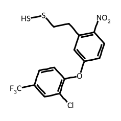 O=[N+]([O-])c1ccc(Oc2ccc(C(F)(F)F)cc2Cl)cc1CCSS